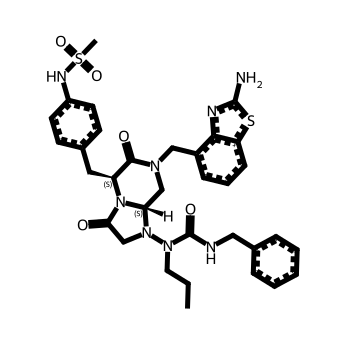 CCCN(C(=O)NCc1ccccc1)N1CC(=O)N2[C@@H](Cc3ccc(NS(C)(=O)=O)cc3)C(=O)N(Cc3cccc4sc(N)nc34)C[C@@H]21